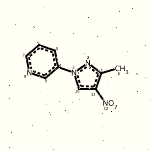 Cc1nn(-c2cccnc2)cc1[N+](=O)[O-]